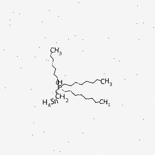 C=C[PH](CCCCCCCC)(CCCCCCCC)CCCCCCCC.[SnH4]